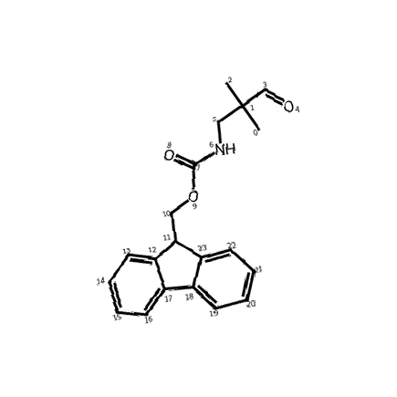 CC(C)(C=O)CNC(=O)OCC1c2ccccc2-c2ccccc21